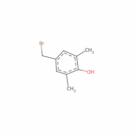 Cc1cc(CBr)cc(C)c1O